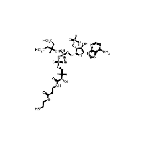 CC(C)(COP(=O)(O)OP(=O)(O)OC[C@H]1O[C@@H](n2cnc3c(N)ncnc32)[C@H](O)[C@@H]1OP(=O)(O)O)[C@@H](O)C(=O)NCCC(=O)NCCS.CC(O)(CC(=O)O)CC(=O)O